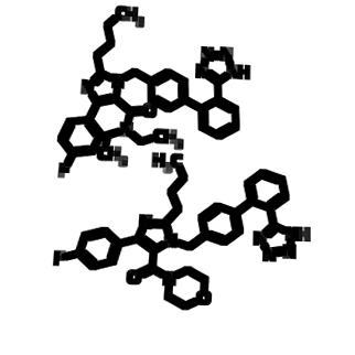 CCCCc1nc(-c2ccc(F)cc2)c(C(=O)N(CC)CC)n1Cc1ccc(-c2ccccc2-c2nnn[nH]2)cc1.CCCCc1nc(-c2ccc(F)cc2)c(C(=O)N2CCOCC2)n1Cc1ccc(-c2ccccc2-c2nnn[nH]2)cc1